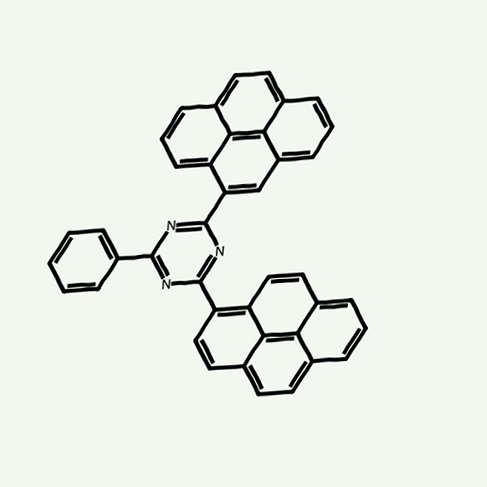 c1ccc(-c2nc(-c3ccc4ccc5cccc6ccc3c4c56)nc(-c3cc4cccc5ccc6cccc3c6c54)n2)cc1